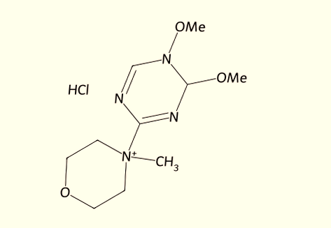 COC1N=C([N+]2(C)CCOCC2)N=CN1OC.Cl